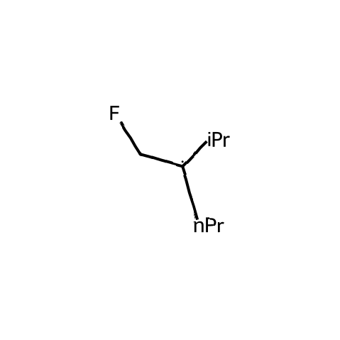 CCC[C](CF)C(C)C